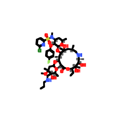 CCCNC[C@]1(O)[C@H](C)OC(O[C@H]2[C@H](C)[C@@H](O[C@@H]3O[C@H](C)C[C@H](N(C)S(=O)(=O)c4cccc(Cl)n4)[C@H]3Oc3ccc(F)cc3)[C@](C)(O)C[C@@H](C)CN[C@H](C)[C@@H](O)[C@](C)(O)[C@@H](CC)OC(=O)[C@@H]2C)C[C@@]1(C)OC